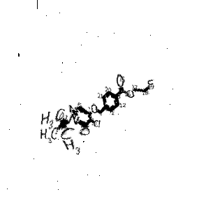 CC(C)(C)n1ncc(OCc2ccc(C(=O)OCCF)cc2)c(Cl)c1=O